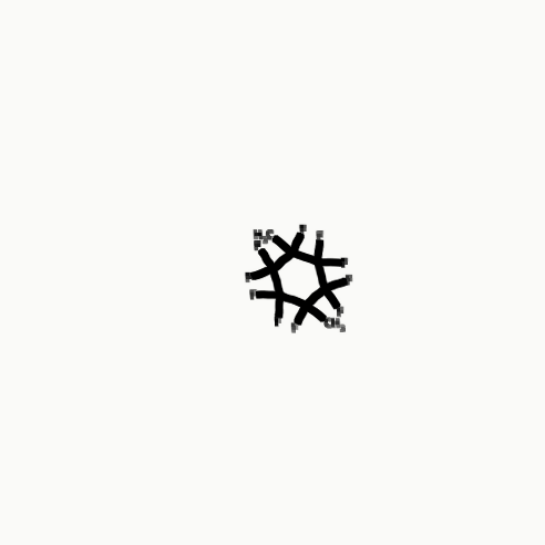 CC1(F)C(F)(F)C(F)(F)C(C)(F)C(F)(F)C1(F)F